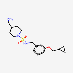 NCC1CCN(S(=O)(=O)NCc2cccc(OCC3CC3)c2)CC1